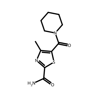 Cc1nc(C(N)=O)sc1C(=O)N1CCCCC1